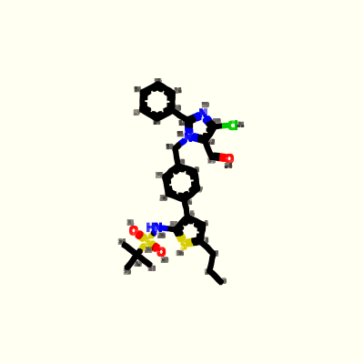 CCCc1cc(-c2ccc(Cn3c(-c4ccccc4)nc(Cl)c3C=O)cc2)c(NS(=O)(=O)C(C)(C)C)s1